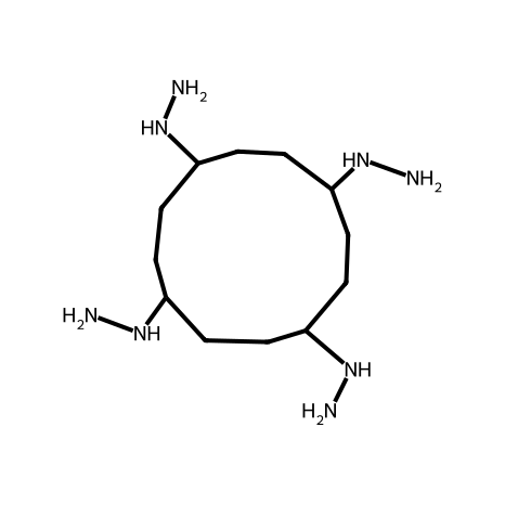 NNC1CCC(NN)CCC(NN)CCC(NN)CC1